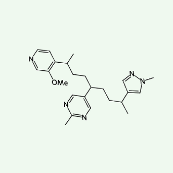 COc1cnccc1C(C)CCC(CCC(C)c1cnn(C)c1)c1cnc(C)nc1